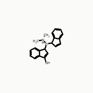 CCCC1=C[CH]([Zr]([CH]2C=Cc3ccccc32)[SiH](C)C)c2ccccc21